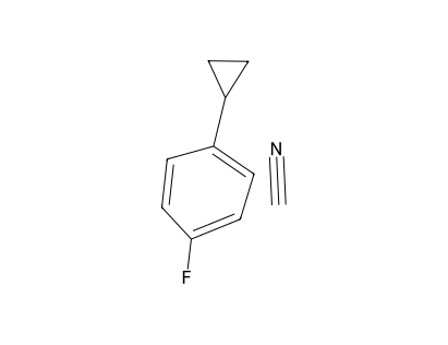 C#N.Fc1ccc(C2CC2)cc1